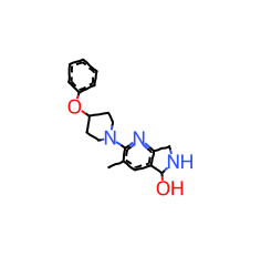 Cc1cc2c(nc1N1CCC(Oc3ccccc3)CC1)CNC2O